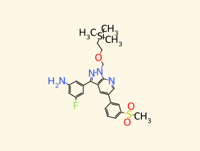 C[Si](C)(C)CCOCn1nc(-c2cc(N)cc(F)c2)c2cc(-c3cccc(S(C)(=O)=O)c3)cnc21